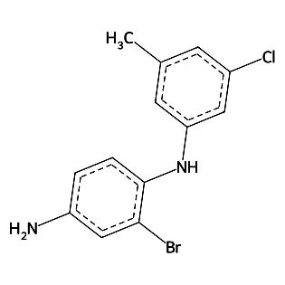 Cc1cc(Cl)cc(Nc2ccc(N)cc2Br)c1